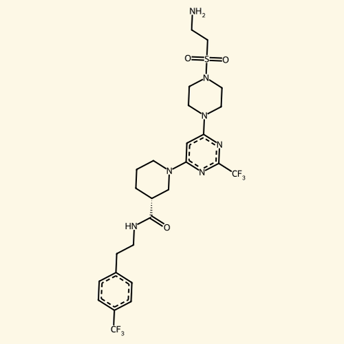 NCCS(=O)(=O)N1CCN(c2cc(N3CCC[C@@H](C(=O)NCCc4ccc(C(F)(F)F)cc4)C3)nc(C(F)(F)F)n2)CC1